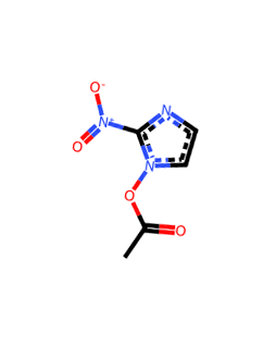 CC(=O)On1ccnc1[N+](=O)[O-]